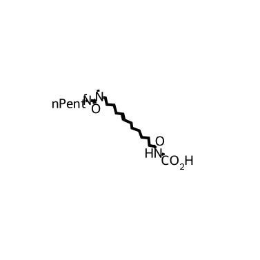 CCCCCN(C)C(=O)N(C)CCCC/C=C/CCCCCCC(=O)NCC(=O)O